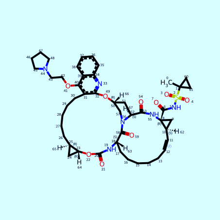 CC1(S(=O)(=O)NC(=O)[C@@]23C[C@H]2/C=C\CCCCC[C@@H]2NC(=O)O[C@@H]4C[C@H]4CCCCCc4c(nc5ccccc5c4OCCN4CCCC4)O[C@@H]4C[C@@H](C(=O)N3)N(C4)C2=O)CC1